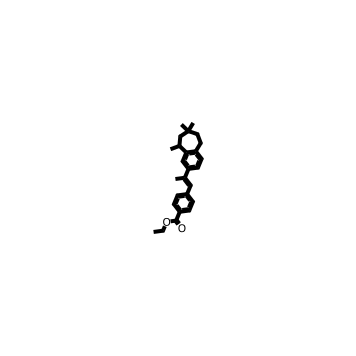 CCOC(=O)c1ccc(/C=C(\C)c2ccc3c(c2)C(C)CC(C)(C)CC3)cc1